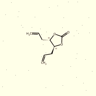 C=CC[C@@H]1OC(=O)O[C@H]1CC=C